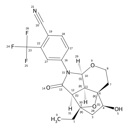 CC[C@@]12C[C@H](O)[C@]3(CCO[C@H]4[C@@H]3[C@@H]1C(=O)N4c1ccc(C#N)c(C(F)(F)F)c1)O2